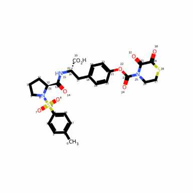 Cc1ccc(S(=O)(=O)N2CCC[C@H]2C(=O)N[C@@H](Cc2ccc(OC(=O)N3CCSC(=O)C3=O)cc2)C(=O)O)cc1